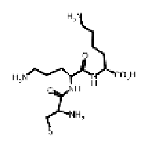 NCCCC[C@H](NC(=O)[C@H](CCCN)NC(=O)[C@@H](N)CS)C(=O)O